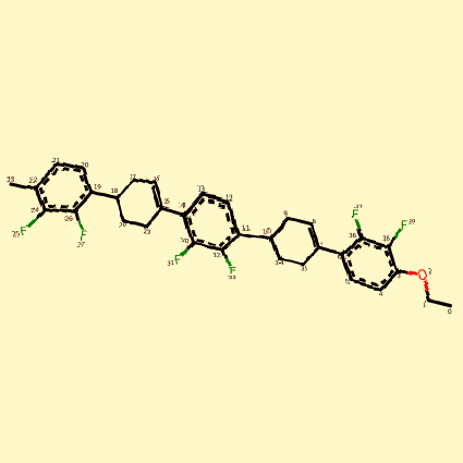 CCOc1ccc(C2=CCC(c3ccc(C4=CCC(c5ccc(C)c(F)c5F)CC4)c(F)c3F)CC2)c(F)c1F